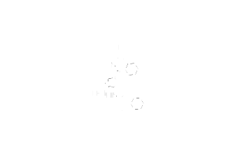 Cl.O=C(Nc1ncc([C@H](c2ccccc2Cl)N2CCC(O)C2)s1)C1(c2ccc3c(c2)OCO3)CC1